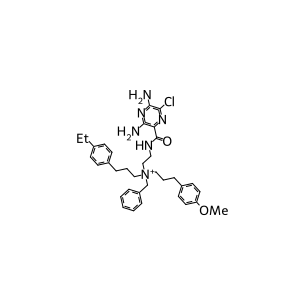 CCc1ccc(CCC[N+](CCCc2ccc(OC)cc2)(CCNC(=O)c2nc(Cl)c(N)nc2N)Cc2ccccc2)cc1